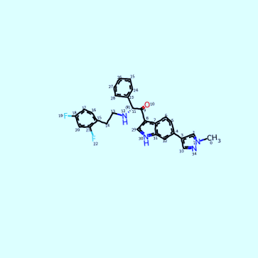 Cn1cc(-c2ccc3c(C(=O)[C@H](NCCc4ccc(F)cc4F)c4ccccc4)c[nH]c3c2)cn1